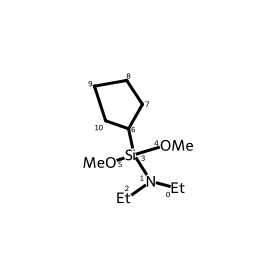 CCN(CC)[Si](OC)(OC)C1CCCC1